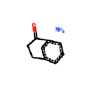 N.O=C1CCc2cccc1c2